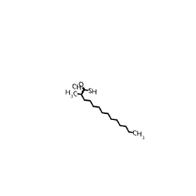 C.CCCCCCCCCCCCC(C)C(=O)S